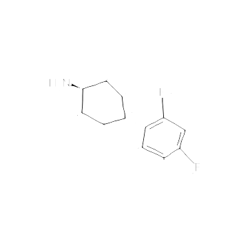 N[C@H]1CC[C@H](c2ccc(F)cc2F)CC1